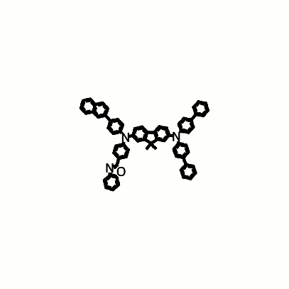 CC1(C)c2cc(N(c3ccc(-c4ccccc4)cc3)c3ccc(-c4ccccc4)cc3)ccc2-c2ccc(N(c3ccc(-c4ccc5ccccc5c4)cc3)c3ccc(-c4nc5ccccc5o4)cc3)cc21